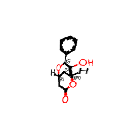 O=C1C[C@H]2C[C@@H](O1)[C@H](O)[C@H](c1ccccc1)O2